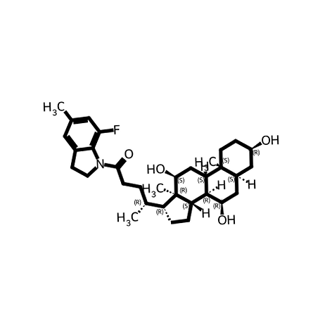 Cc1cc(F)c2c(c1)CCN2C(=O)CC[C@@H](C)[C@H]1CC[C@H]2[C@@H]3[C@H](O)C[C@@H]4C[C@H](O)CC[C@]4(C)[C@H]3C[C@H](O)[C@]12C